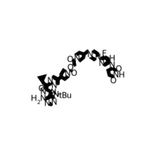 CC(C)(C)n1nc(-c2noc(C3CC3)c2-c2ncc(C3CCN(C(=O)OCC(=O)N4CCC(CN5CCN(c6ncc(NC7CCC(=O)NC7=O)cc6F)CC5)CC4)CC3)cn2)c2c(N)ncnc21